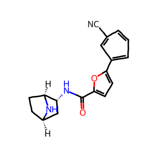 N#Cc1cccc(-c2ccc(C(=O)N[C@@H]3C[C@H]4CC[C@@H]3N4)o2)c1